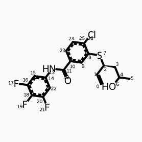 C=C[C@H](CC(C)O)Sc1cc(C(=O)Nc2cc(F)c(F)c(F)c2)ccc1Cl